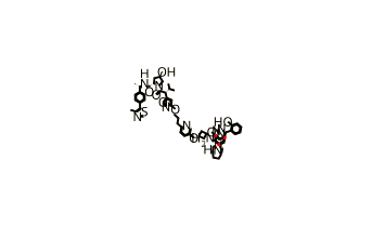 Cc1ncsc1-c1ccc([C@H](C)NC(=O)[C@@H]2C[C@@H](O)CN2C(=O)[C@@H](c2cc(OCCCc3ccc(OC4CC(Oc5cc(N6C7CC[C@@H]6CN(c6cc(-c8ccccc8O)nnc6N)C7)ccn5)C4)cn3)no2)C(C)C)cc1